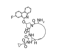 N[C@H]1CCCCC/C=C\[C@@H]2C[C@@]2(C(=O)NS(=O)(=O)C2CC2)NC(=O)[C@@H]2C[C@@H](Oc3nc4ccccc4c4ccc(F)cc34)CN2C1=O